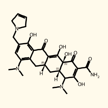 CN(C)c1cc(CN2CC=CC2)c(O)c2c1C[C@H]1C[C@H]3C(N(C)C)C(O)=C(C(N)=O)C(=O)[C@@]3(O)C(O)=C1C2=O